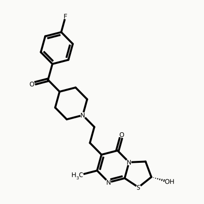 Cc1nc2n(c(=O)c1CCN1CCC(C(=O)c3ccc(F)cc3)CC1)C[C@H](O)S2